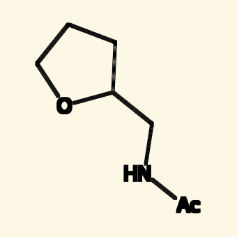 [CH2]C(=O)NCC1CCCO1